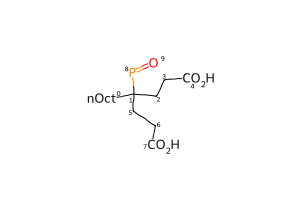 CCCCCCCCC(CCC(=O)O)(CCC(=O)O)P=O